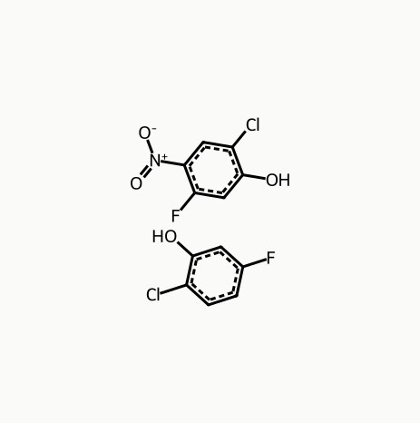 O=[N+]([O-])c1cc(Cl)c(O)cc1F.Oc1cc(F)ccc1Cl